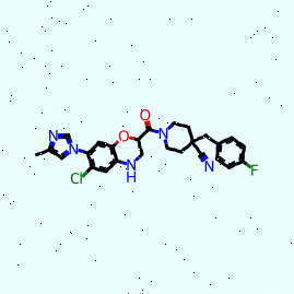 Cc1cn(-c2cc3c(cc2Cl)NCC(C(=O)N2CCC(C#N)(Cc4ccc(F)cc4)CC2)O3)cn1